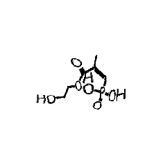 CC(=CP(=O)(O)O)C(=O)OCCO